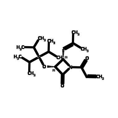 C=CC(=O)N1C(=O)[C@H](O[Si](C(C)C)(C(C)C)C(C)C)[C@@H]1C=C(C)C